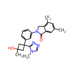 [CH2]c1cc2c(c(C(F)(F)F)c1)CN(c1cccc(C3(c4nncn4C)CC(C)(O)C3)c1)C2=O